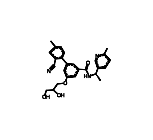 Cc1ccc(-c2cc(OCC(O)CO)cc(C(=O)N[C@H](C)c3ccc(C)nc3)c2)c(C#N)c1